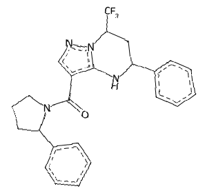 O=C(c1cnn2c1NC(c1ccccc1)CC2C(F)(F)F)N1CCCC1c1ccccc1